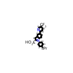 CC(C)c1ccc(N2c3ccc(-c4ccc(C(F)(F)F)cn4)cc3CC2C(=O)O)cc1